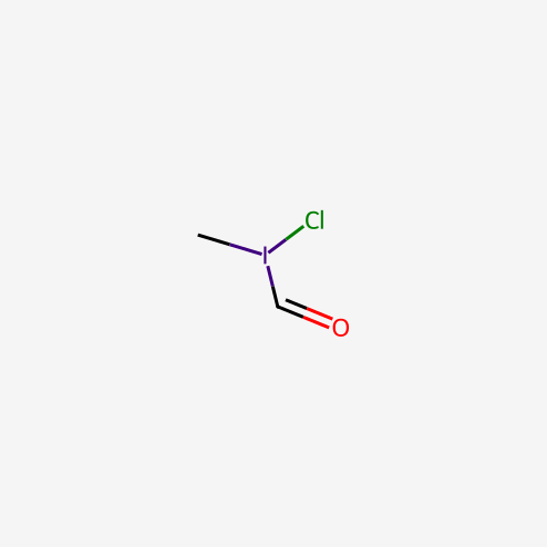 CI(Cl)C=O